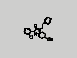 CC(C)(C)C1CCC2(CC1)N=C(c1ccccc1Cl)C(=O)N2CCc1ccccc1